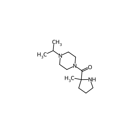 CC(C)N1CCN(C(=O)C2(C)CCCN2)CC1